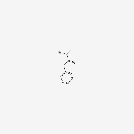 CC(Br)C(=S)Cc1ccccc1